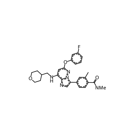 CNC(=O)c1ccc(-c2cnc3c(NCC4CCOCC4)cc(Oc4cccc(F)c4)nn23)cc1C